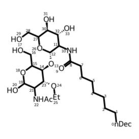 CCCCCCCCCCCCCCCCCC(=O)NC1[C@H](O[C@@H]2C(CO)OC(O)C(NC(C)=O)[C@H]2OCC)OC(CO)[C@@H](O)[C@@H]1O